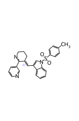 Cc1ccc(S(=O)(=O)n2cc(/C=C3\CCCN=C3c3cccnc3)c3ccccc32)cc1